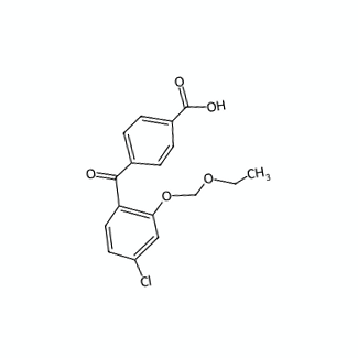 CCOCOc1cc(Cl)ccc1C(=O)c1ccc(C(=O)O)cc1